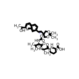 CC(C)[C@H](NC(=O)OC1(/C=C/c2ccc3ccc([C@@H](C)O)nc3c2)COC(C)(C)OC1)C(=O)N[C@@H](C)C(=O)N1CCC[C@@H](C(=O)O)N1